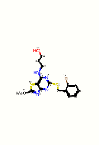 COc1nc2nc(SCc3ccccc3Br)nc(NCCCO)c2s1